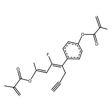 C#CC/C(=C(F)\C=C(/C)OC(=O)C(=C)C)c1ccc(OC(=O)C(=C)C)cc1